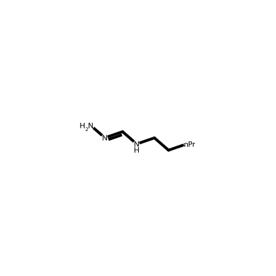 CCCCCNC=NN